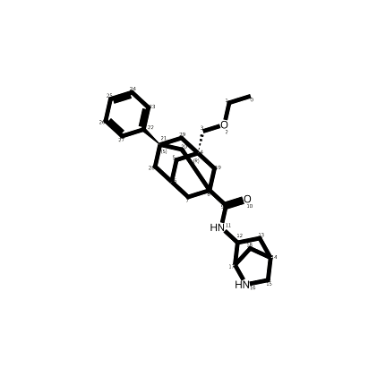 CCOC[C@@]12CC3CC(C(=O)NC4CC5CNC4C5)(C1)C[C@](c1ccccc1)(C3)C2